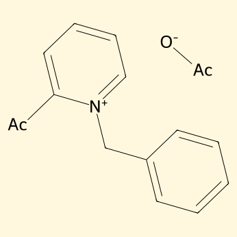 CC(=O)[O-].CC(=O)c1cccc[n+]1Cc1ccccc1